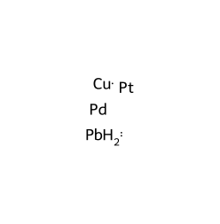 [Cu].[PbH2].[Pd].[Pt]